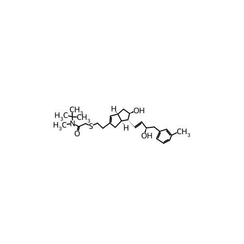 Cc1cccc(C[C@@H](O)/C=C/[C@@H]2[C@H]3CC(CCSCC(=O)N(C)C(C)(C)C)=C[C@H]3C[C@H]2O)c1